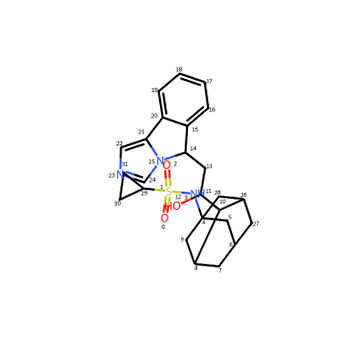 O=S(=O)(NC12CC3CC(C1)C(C(O)CC1c4ccccc4-c4cncn41)C(C3)C2)C1CC1